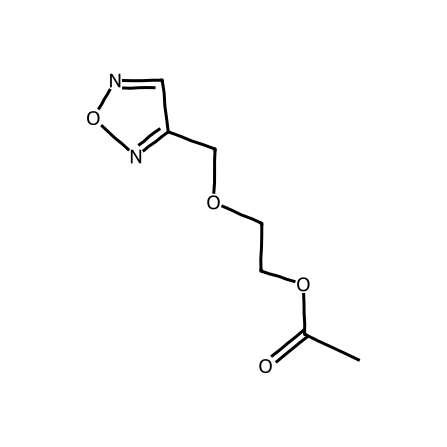 CC(=O)OCCOCc1cnon1